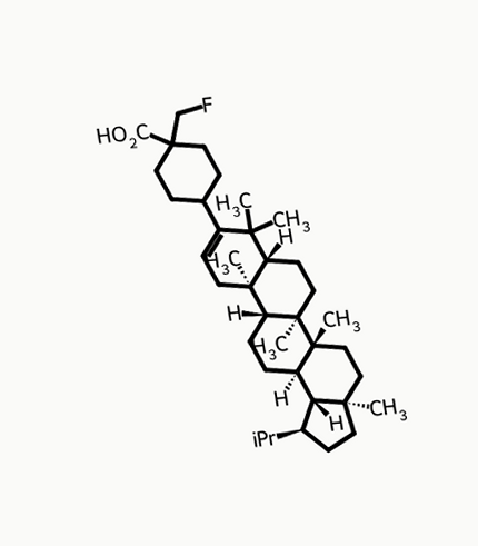 CC(C)[C@@H]1CC[C@]2(C)CC[C@]3(C)[C@H](CC[C@@H]4[C@@]5(C)CC=C(C6CCC(CF)(C(=O)O)CC6)C(C)(C)[C@@H]5CC[C@]43C)[C@@H]12